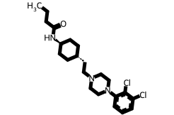 CCCC(=O)N[C@H]1CC[C@H](CCN2CCN(c3cccc(Cl)c3Cl)CC2)CC1